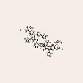 CCCCC(CC)CN1C(=O)C2=C(c3ccc(-c4ccc(-c5ccc(C6=C7C(=C(c8cccs8)N(CC(CC)CCCC)C7O)C(=O)N6C)s5)s4)s3)N(CC(CC)CCCC)C(=O)C2=C1c1cccs1